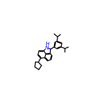 CC(C)c1cc(C(C)C)cc(C2Nc3ccc(C4CCCC4)c4cccc2c34)c1